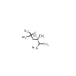 CC(C)N(C)CC(C)(C)C